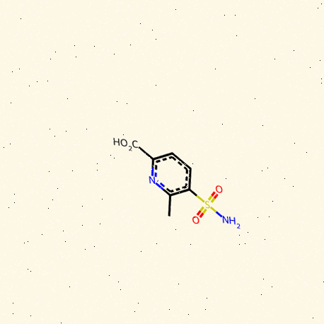 Cc1nc(C(=O)O)ccc1S(N)(=O)=O